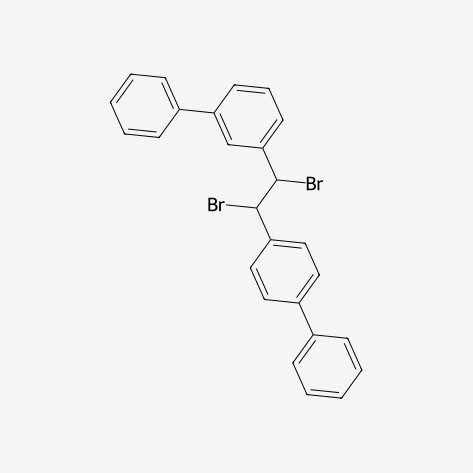 BrC(c1ccc(-c2ccccc2)cc1)C(Br)c1cccc(-c2ccccc2)c1